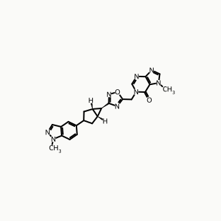 Cn1cnc2ncn(Cc3nc([C@H]4[C@@H]5CC(c6ccc7c(cnn7C)c6)C[C@@H]54)no3)c(=O)c21